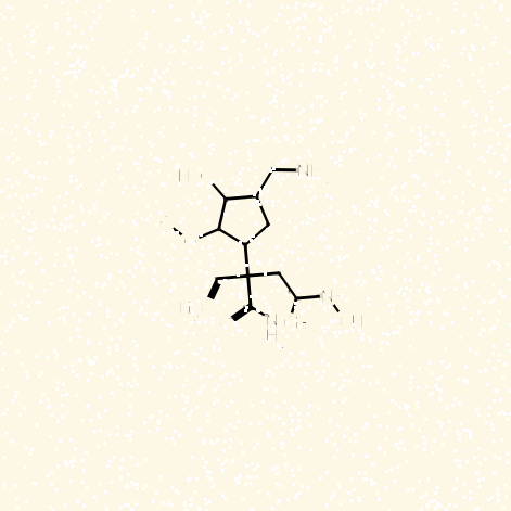 C=CC(CC(C)NC)(C(=C)N)C1CC(CN)C(C)C1OC